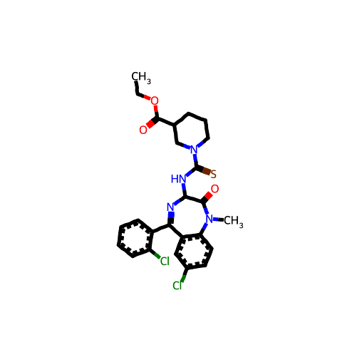 CCOC(=O)C1CCCN(C(=S)NC2N=C(c3ccccc3Cl)c3cc(Cl)ccc3N(C)C2=O)C1